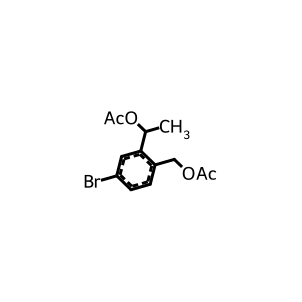 CC(=O)OCc1ccc(Br)cc1C(C)OC(C)=O